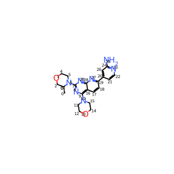 C[C@H]1COCCN1c1nc(N2CCOCC2)c2ccc(-c3ccnc(N)c3)nc2n1